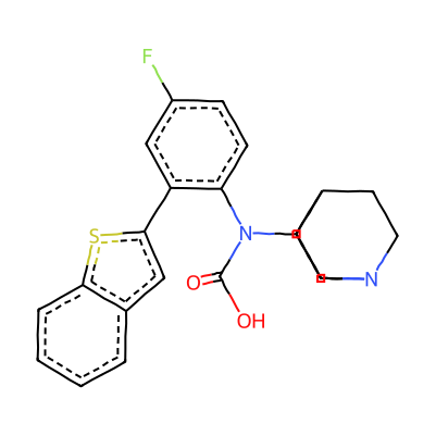 O=C(O)N(c1ccc(F)cc1-c1cc2ccccc2s1)C1CN2CCC1CC2